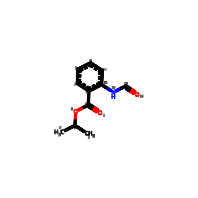 CC(C)OC(=O)c1ccccc1NC=O